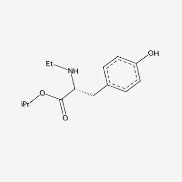 CCN[C@H](Cc1ccc(O)cc1)C(=O)OC(C)C